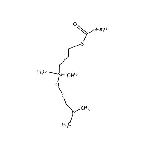 CCCCCCCC(=O)SCCC[Si](C)(OC)OCCN(C)C